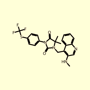 CNc1cnc2ccccc2c1CN1C(=O)N(c2ccc(SC(F)(F)F)cc2)C(=O)C1(C)C